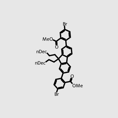 CCCCCCCCCCCCC1(CCCCCCCCCCCC)c2cc(-c3ccc(Br)cc3C(=O)OC)ccc2-c2ccc(-c3ccc(Br)cc3C(=O)OC)cc21